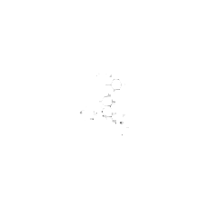 COc1cccc(-c2ccc3c(N4CCOC[C@@H]4C)nc(N4CCOC[C@@H]4C)nc3n2)c1